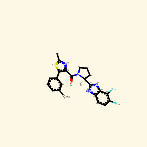 COc1cccc(-c2sc(C)nc2C(=O)N2CCC[C@@]2(C)c2nc3c(F)c(F)ccc3[nH]2)c1